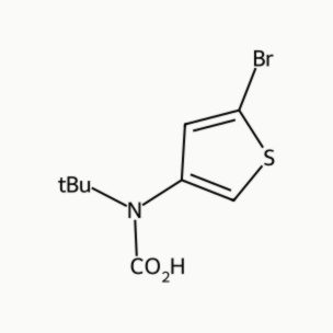 CC(C)(C)N(C(=O)O)c1csc(Br)c1